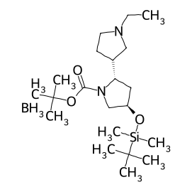 B.CCN1CCC([C@@H]2C[C@@H](O[Si](C)(C)C(C)(C)C)CN2C(=O)OC(C)(C)C)C1